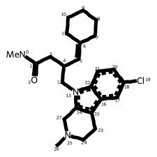 CNC(=O)CC(C=C1CCCCC1)Cn1c2c(c3cc(Cl)ccc31)CCN(C)C2